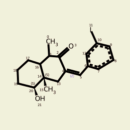 CC1C(=O)/C(=C\c2cccc(I)c2)C[C@@]2(C)C1CCC[C@@H]2O